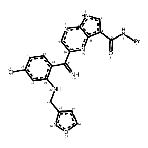 CC(C)NC(=O)c1c[nH]c2ncc(C(=N)c3ccc(Cl)cc3NCc3ccon3)nc12